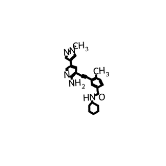 Cc1ccc(C(=O)NC2CCCCC2)cc1C#Cc1cc(-c2cnn(C)c2)cnc1N